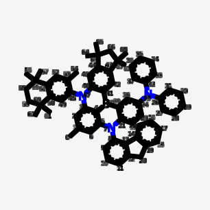 Cc1cc2c3c(c1)N(c1cccc4c1-c1ccccc1C4)c1ccc(N(c4ccccc4)c4ccccc4)cc1B3c1cc3c(cc1N2c1cc2c(cc1C)C(C)(C)CCC2(C)C)C(C)(C)CC3(C)C